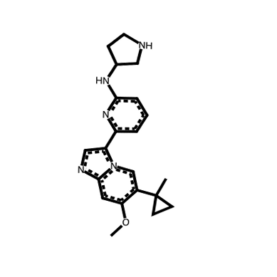 COc1cc2ncc(-c3cccc(NC4CCNC4)n3)n2cc1C1(C)CC1